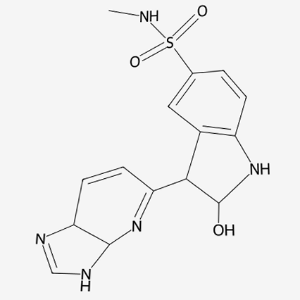 CNS(=O)(=O)c1ccc2c(c1)C(C1=NC3NC=NC3C=C1)C(O)N2